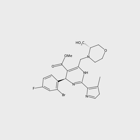 COC(=O)C1=C(CN2CCOC[C@H]2C(=O)O)NC(C2=C(C)CC=N2)=N[C@H]1c1ccc(F)cc1Br